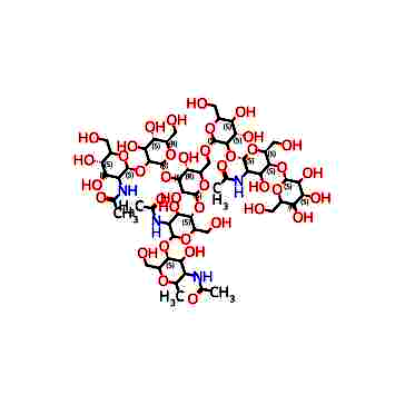 CC(=O)NC1C(C)OC(CO)[C@@H](OC2OC(CO)[C@@H](O[C@@H]3OC(CO[C@H]4OC(CO)[C@@H](O)[C@H](O)C4O[C@@H]4O[C@@H](CO)[C@@H](O[C@@H]5OC(CO)[C@H](O)[C@H](O)C5O)C(O)C4NC(C)=O)[C@@H](O)[C@H](O[C@H]4O[C@H](CO)[C@@H](O)C(O)C4O[C@@H]4OC(CO)[C@@H](O)[C@H](O)C4NC(C)=O)C3O)C(O)C2NC(C)=O)C1O